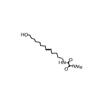 CNC(=O)C(=O)NCCCCC=CCCCCCCCO